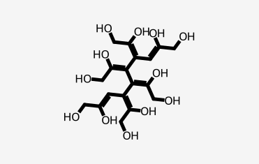 OCC(O)=CC(=C(O)CO)C(=C(O)CO)C(=C(O)CO)C(C=C(O)CO)=C(O)CO